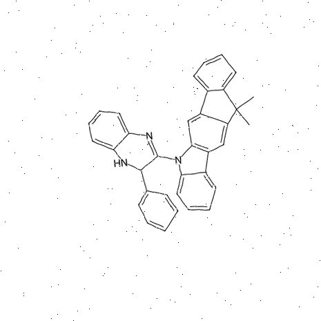 CC1(C)c2ccccc2-c2cc3c(cc21)c1ccccc1n3C1=Nc2ccccc2NC1c1ccccc1